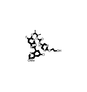 COc1cnc2c(-c3nc4cc(F)c(O[C@@H](C)[C@@H](C)OC(=O)Nc5cnc(OCCO)nc5)nc4s3)cc(Cl)cc2c1